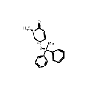 CN1C[C@@H](O[Si](c2ccccc2)(c2ccccc2)C(C)(C)C)C=CC1=O